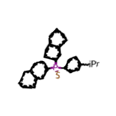 CC(C)c1ccc(P(=S)(c2ccc3ccccc3c2)c2ccc3ccccc3c2)cc1